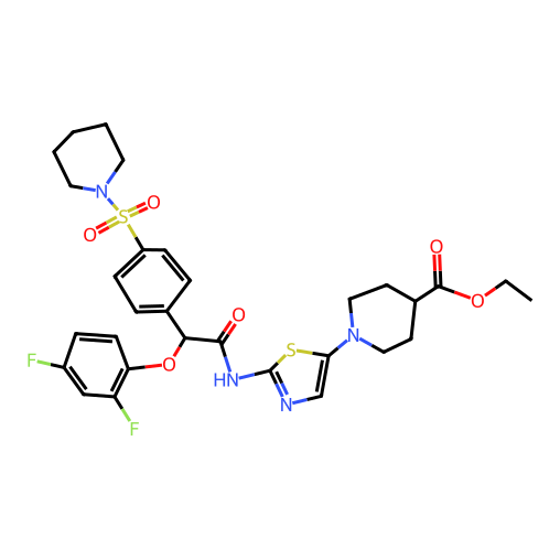 CCOC(=O)C1CCN(c2cnc(NC(=O)C(Oc3ccc(F)cc3F)c3ccc(S(=O)(=O)N4CCCCC4)cc3)s2)CC1